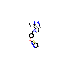 CC(C)(N)CC1CCCCN1Cc1ccc(Oc2nc3ncccc3s2)cc1